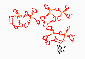 O=P([O-])([O-])OP1(=O)OOO1.O=P([O-])([O-])OP1(=O)OOO1.O=P([O-])([O-])OP1(=O)OOO1.[Na+].[V+5]